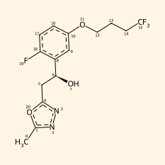 Cc1nnc(C[C@H](O)c2cc(OCCCC(F)(F)F)ccc2F)o1